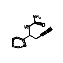 C#CCC(NC(N)=O)c1ccccc1